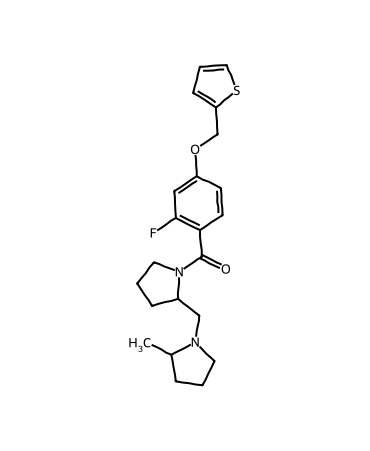 CC1CCCN1CC1CCCN1C(=O)c1ccc(OCc2cccs2)cc1F